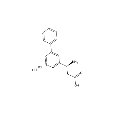 Cl.Cl.N[C@@H](CC(=O)O)c1cncc(-c2ccccc2)c1